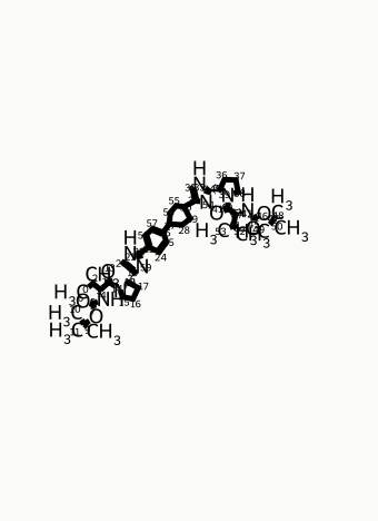 CC(C)C(NC(=O)OC(C)(C)C)C(=O)N1CCC[C@H]1c1c[nH]c(-c2ccc(C3CCC(c4c[nH]c([C@H]5CCCN5C(=O)[C@@H](NC(=O)OC(C)(C)C)C(C)C)n4)CC3)cc2)n1